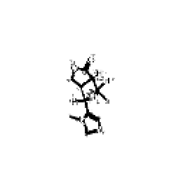 [2H]C([2H])(c1cncn1C)[C@H]1COC(=O)[C@@]1([2H])C([2H])([2H])C